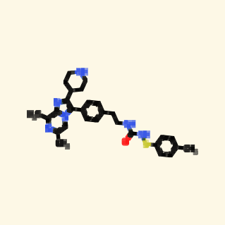 Cc1ccc(SNC(=O)NCCc2ccc(-c3c(C4CCNCC4)nc4c(C)nc(C)cn34)cc2)cc1